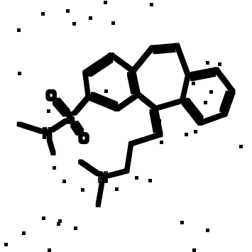 CN(C)CCC=C1c2ccccc2C=Cc2ccc(S(=O)(=O)N(C)C)cc21